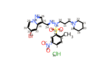 Cc1ccc([N+](=O)[O-])cc1S(=O)(=O)N(CCCN1CCCCC1)N=Cc1cnn2ccc(Br)cc12.Cl